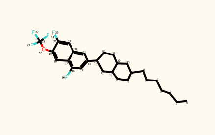 CCCCCCCC1CCC2CC(c3cc(F)c4cc(OC(F)(F)F)c(F)cc4c3)CCC2C1